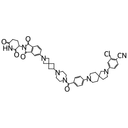 N#Cc1ccc(N2CCC3(CCN(c4ccc(C(=O)N5CCN(C6CC7(C6)CN(c6ccc8c(c6)C(=O)N(C6CCC(=O)NC6=O)C8=O)C7)CC5)cc4)CC3)C2)cc1Cl